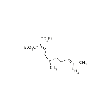 CCOC(=O)C(=CCC(C)CCC=C(C)C)C(=O)OCC